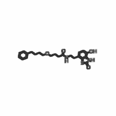 O=C(CCCOCCCCc1ccccc1)NCCc1ccc(O)c2[nH]c(=O)sc12